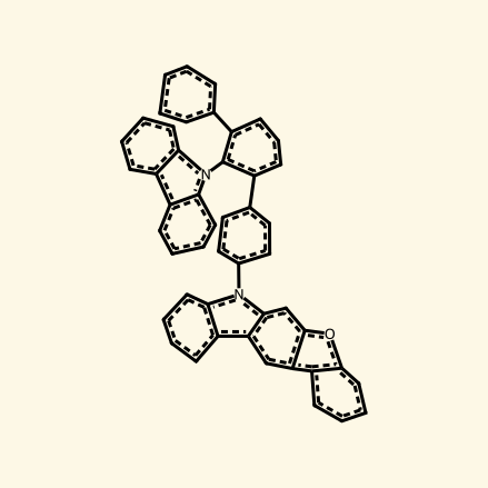 c1ccc(-c2cccc(-c3ccc(-n4c5ccccc5c5cc6c(cc54)oc4ccccc46)cc3)c2-n2c3ccccc3c3ccccc32)cc1